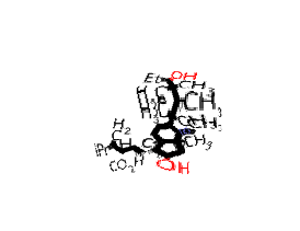 C=C(CC[C@@H](C(=O)O)[C@H]1[C@H](O)C[C@@]2(C)/C(=C/C)C(C(C)(C)[C@@H](C)C(C)(C)C(O)CC)=CC[C@]12C)C(C)C